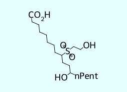 CCCCCC(O)CCC(CCCCCCCC(=O)O)S(=O)(=O)CCO